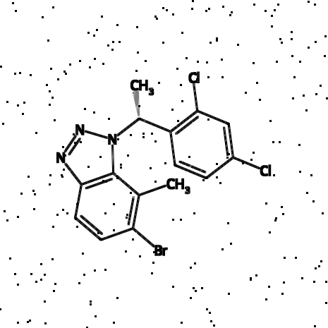 Cc1c(Br)ccc2nnn([C@H](C)c3ccc(Cl)cc3Cl)c12